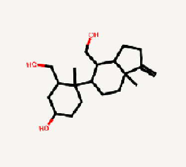 C=C1CCC2C(CO)C(C3(C)CCC(O)CC3CO)CCC12C